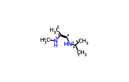 CN/C(C)=C\NC(C)C